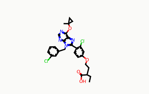 CCC(CCOc1ccc(-c2nc3c(OC4(C)CC4)ncnc3n2Cc2cccc(Cl)c2)c(Cl)c1)C(=O)O